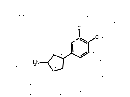 NC1CCC(c2ccc(Cl)c(Cl)c2)C1